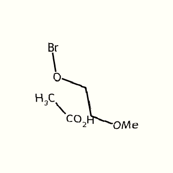 CC(=O)O.COCCOBr